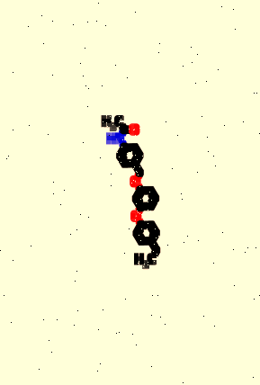 CCc1ccc(Oc2cccc(OCc3ccc(NC(C)=O)cc3)c2)cc1